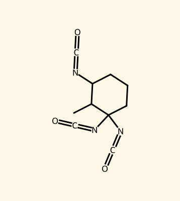 CC1C(N=C=O)CCCC1(N=C=O)N=C=O